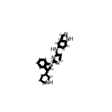 c1ccc2c(c1)c(C1CCCNC1)cn2-c1nccc(Nc2ccc3[nH]ncc3c2)n1